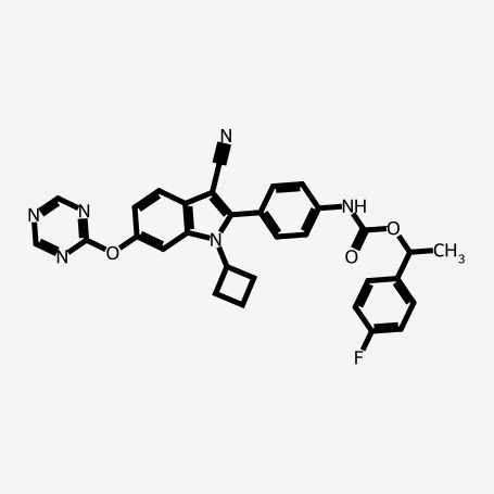 CC(OC(=O)Nc1ccc(-c2c(C#N)c3ccc(Oc4ncncn4)cc3n2C2CCC2)cc1)c1ccc(F)cc1